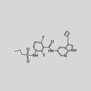 CCCS(=O)(=O)Nc1ccc(F)c(C(=O)Nc2cnc3[nH]cc(C4=CC=C4)c3c2)c1F